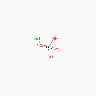 Cl.[O]=[Cr](=[O])([OH])[OH]